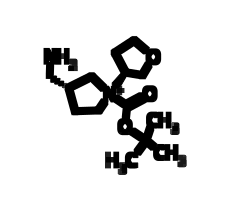 CC(C)(C)OC(=O)[N+]1([C@H]2CCOC2)CC[C@H](CN)C1